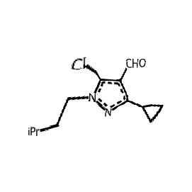 CC(C)CCn1nc(C2CC2)c(C=O)c1Cl